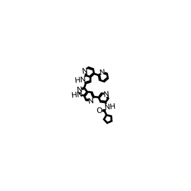 O=C(Nc1cncc(-c2cc3c(-c4cc5c(-c6ccccn6)ccnc5[nH]4)n[nH]c3cn2)c1)C1CCCC1